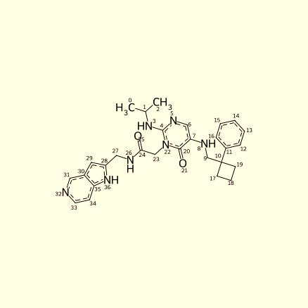 CC(C)Nc1ncc(NCC2(c3ccccc3)CCC2)c(=O)n1CC(=O)NCc1cc2cnccc2[nH]1